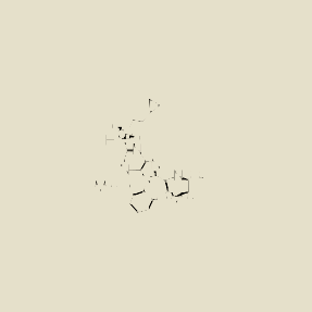 CCOc1cccc(-c2nc3nc(NS(=O)(=O)CCC4CC4)cnc3n2-c2c(OC)cccc2OC)n1